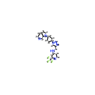 FC(F)(F)c1cc(NCc2cn(-c3ccc(-n4ccc5ccncc54)cc3)nn2)ccn1